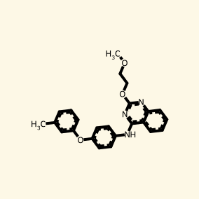 COCCOc1nc(Nc2ccc(Oc3cccc(C)c3)cc2)c2ccccc2n1